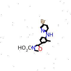 Cc1cc(C2CN(C(=O)O)CCO2)ccc1Nc1ccc(Br)cn1